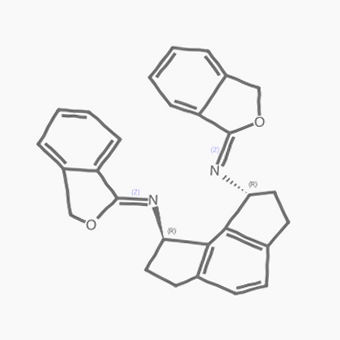 c1ccc2c(c1)CO/C2=N\[C@@H]1CCc2ccc3c(c21)[C@H](/N=C1\OCc2ccccc21)CC3